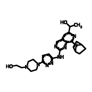 CC(O)c1cc2cnc(Nc3ccc(N4CCN(CCO)CC4)nn3)nc2c(N2C3CCC2CC3)n1